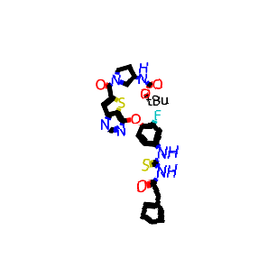 CC(C)(C)OC(=O)NC1CCN(C(=O)c2cc3ncnc(Oc4ccc(NC(=S)NC(=O)Cc5ccccc5)cc4F)c3s2)C1